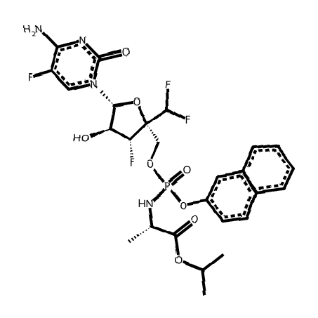 CC(C)OC(=O)[C@H](C)NP(=O)(OC[C@@]1(C(F)F)O[C@@H](n2cc(F)c(N)nc2=O)[C@H](O)[C@H]1F)Oc1ccc2ccccc2c1